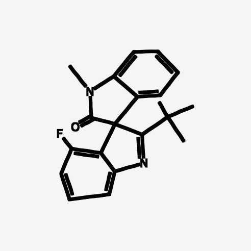 CN1C(=O)C2(C(C(C)(C)C)=Nc3cccc(F)c32)c2ccccc21